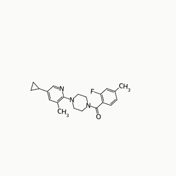 Cc1ccc(C(=O)N2CCN(c3ncc(C4CC4)cc3C)CC2)c(F)c1